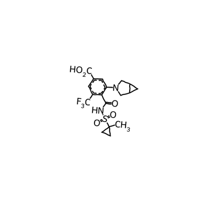 CC1(S(=O)(=O)NC(=O)c2c(N3CC4CC4C3)cc(C(=O)O)cc2C(F)(F)F)CC1